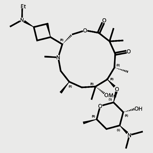 CCN(C)[C@H]1C[C@@H]([C@@H]2COC(=O)C(C)(C)C(=O)[C@H](C)[C@@H](O[C@@H]3O[C@H](C)C[C@H](N(C)C)[C@H]3O)[C@](C)(OC)C[C@@H](C)CN2C)C1